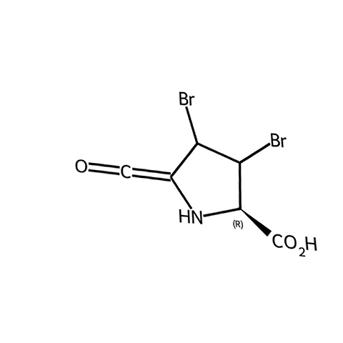 O=C=C1N[C@H](C(=O)O)C(Br)C1Br